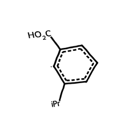 CC(C)c1[c]c(C(=O)O)ccc1